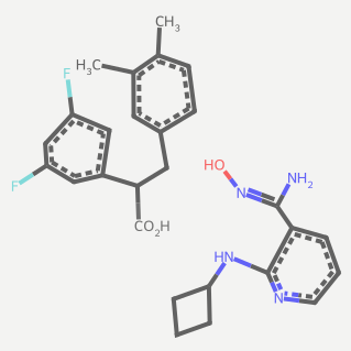 Cc1ccc(CC(C(=O)O)c2cc(F)cc(F)c2)cc1C.NC(=NO)c1cccnc1NC1CCC1